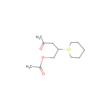 CC(=O)CC(COC(C)=O)[SH]1CCCCC1